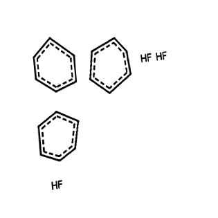 F.F.F.c1ccccc1.c1ccccc1.c1ccccc1